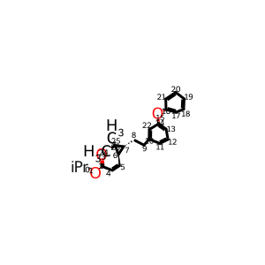 CC(C)OC(=O)/C=C\[C@@H]1[C@@H](CCc2cccc(Oc3ccccc3)c2)C1(C)C